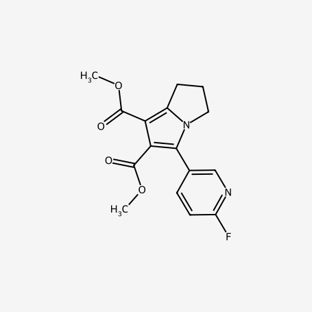 COC(=O)c1c(C(=O)OC)c(-c2ccc(F)nc2)n2c1CCC2